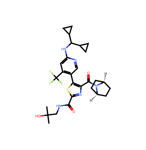 CC(C)(O)CNC(=O)c1nc(C(=O)N2[C@H]3CC[C@@H]2CC3)c(-c2cnc(NC(C3CC3)C3CC3)cc2C(F)(F)F)s1